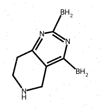 Bc1nc(B)c2c(n1)CCNC2